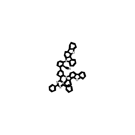 N#Cc1c(-c2ccc(-c3nc(-c4ccccc4)nc(-c4ccccc4)n3)c(-n3c4ccccc4c4c5oc6ccccc6c5ccc43)c2)cccc1-n1c2ccccc2c2c3oc4ccccc4c3ccc21